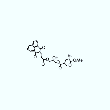 CCC(CC(C)C(=O)OCC(O)COC(=O)CCN1C(=O)c2cccc3cccc(c23)C1=O)C(=O)OC